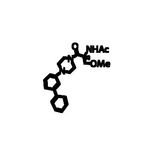 COC[C@H](NC(C)=O)C(=O)N1CCN(c2cccc(-c3ccccc3)c2)CC1